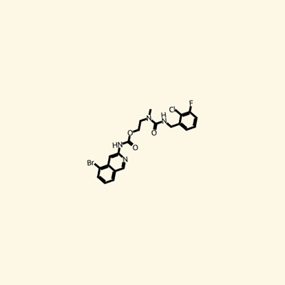 CN(CCOC(=O)Nc1cc2c(Br)cccc2cn1)C(=O)NCc1cccc(F)c1Cl